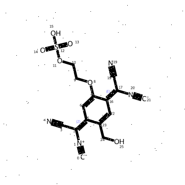 [C-]#[N+]/C(C#N)=c1/cc(OCCOS(=O)(=O)O)/c(=C(\C#N)[N+]#[C-])cc1CO